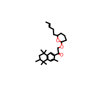 CC=CCCC1CCCC(OCC(=O)c2cc3c(cc2C)C(C)(C)C(C)CC3(C)C)O1